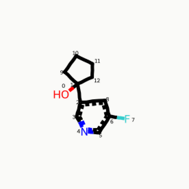 OC1(c2cncc(F)c2)CCCC1